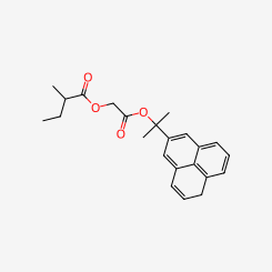 CCC(C)C(=O)OCC(=O)OC(C)(C)c1cc2c3c(cccc3c1)CC=C2